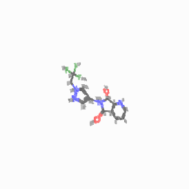 O=C1c2cccnc2C(=O)N1c1cnn(CC(F)(F)F)c1